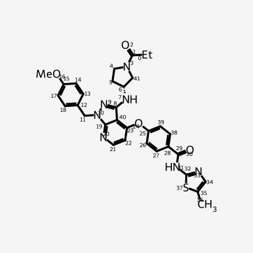 CCC(=O)N1CC[C@@H](Nc2nn(Cc3ccc(OC)cc3)c3nccc(Oc4ccc(C(=O)Nc5ncc(C)s5)cc4)c23)C1